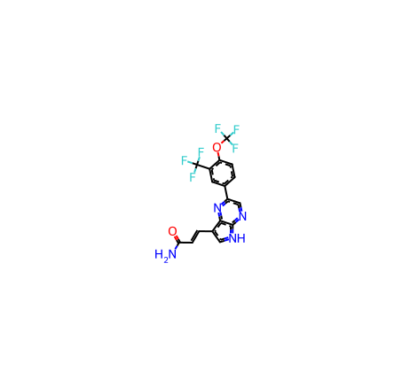 NC(=O)C=Cc1c[nH]c2ncc(-c3ccc(OC(F)(F)F)c(C(F)(F)F)c3)nc12